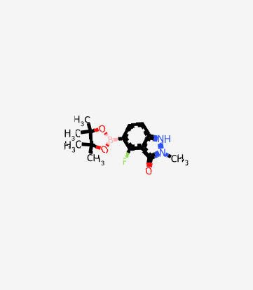 Cn1[nH]c2ccc(B3OC(C)(C)C(C)(C)O3)c(F)c2c1=O